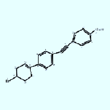 CCCCCc1ccc(C#Cc2ccc(C3=CCC(CC)CC3)cc2)cc1